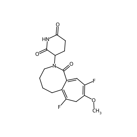 COC1=C(F)C=C2C(=O)N(C3CCC(=O)NC3=O)CCCCC2=C(F)C1